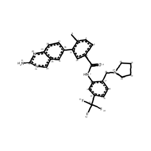 Cc1ccc(C(=O)Nc2cc(C(F)(F)F)ccc2CN2CCCC2)cc1-c1ccc2nc(N)ncc2c1